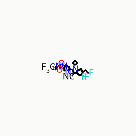 C[C@H](NS(=O)(=O)c1ccc(-c2c(C#N)c3cc(F)c(CC(F)F)cc3n2C2CCC2)nc1)C(F)(F)F